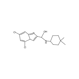 CC1(C)CCC(NC(O)C2=CC3C(Cl)=CC(Cl)=CC3=N2)CC1